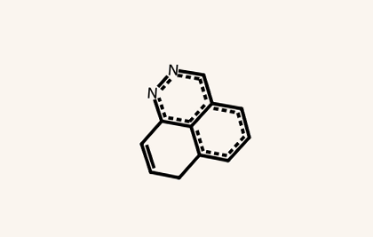 C1=Cc2nncc3cccc(c23)C1